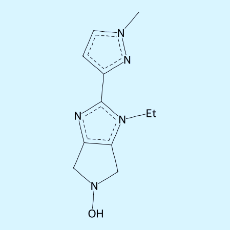 CCn1c(-c2ccn(C)n2)nc2c1CN(O)C2